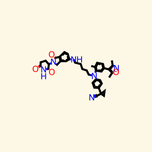 Cc1ccc(-c2c(C)noc2C)cc1N(CCCCCNc1ccc2c(c1)CN(C1CCC(=O)NC1=O)C2=O)c1ccc(C2(C#N)CC2)cc1